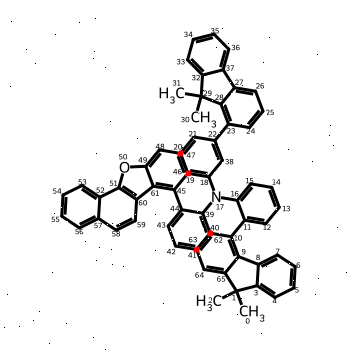 CC1(C)c2ccccc2-c2c(-c3ccccc3N(c3cccc(-c4cccc5c4C(C)(C)c4ccccc4-5)c3)c3ccccc3-c3cccc4oc5c6ccccc6ccc5c34)cccc21